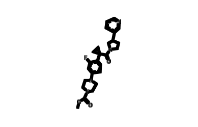 COC(=O)N1CCN(c2ccc(C3(C(=O)N4CCC(c5cccnc5)C4)CC3)c(F)c2)CC1